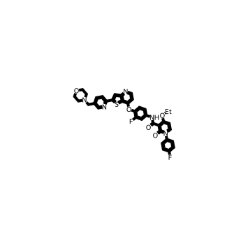 CCOc1ccn(-c2ccc(F)cc2)c(=O)c1C(=O)Nc1ccc(Oc2ccnc3cc(-c4ccc(CN5CCOCC5)cn4)sc23)c(F)c1